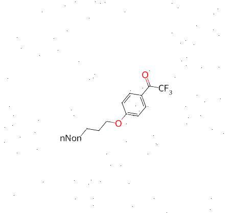 CCCCCCCCCCCCOc1ccc(C(=O)C(F)(F)F)cc1